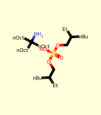 CCCCC(CC)COP(=O)(O)OCC(CC)CCCC.CCCCCCCCC(N)(CCCCCCCC)CCCCCCCC